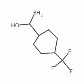 BC(O)C1CCC(C(F)(F)F)CC1